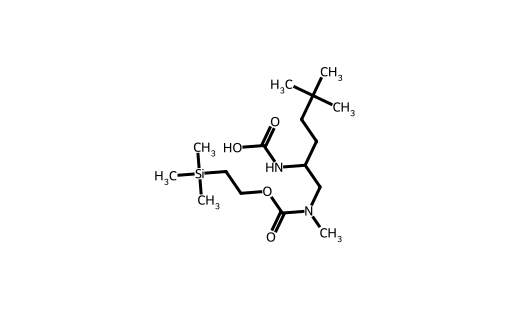 CN(CC(CCC(C)(C)C)NC(=O)O)C(=O)OCC[Si](C)(C)C